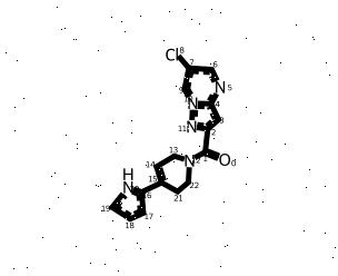 O=C(c1cc2ncc(Cl)cn2n1)N1CC=C(c2ccc[nH]2)CC1